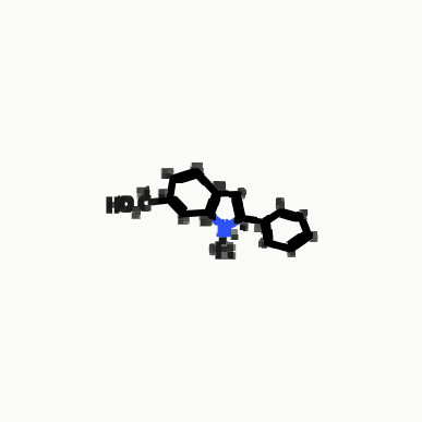 CCn1c(-c2ccccc2)cc2ccc(C(=O)O)cc21